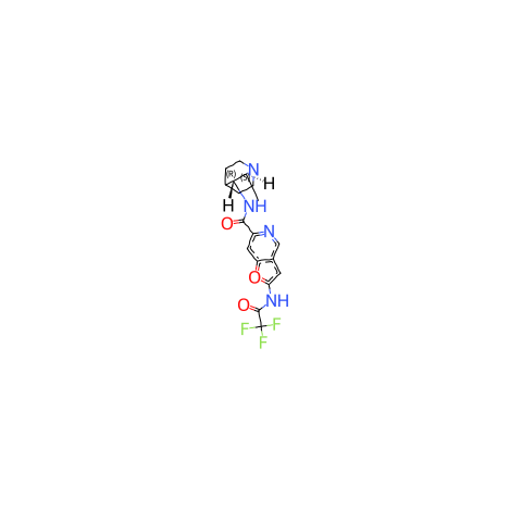 C[C@H]1[C@H](NC(=O)c2cc3oc(NC(=O)C(F)(F)F)cc3cn2)C2CCN1CC2